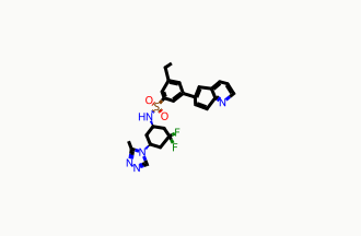 CCc1cc(-c2ccc3ncccc3c2)cc(S(=O)(=O)N[C@@H]2C[C@H](n3cnnc3C)CC(F)(F)C2)c1